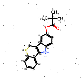 CC(C)(C)C(=O)Oc1ccc2[nH]c3c(c2c1)CSc1ccccc1-3